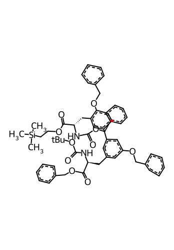 CC(C)(C)OC(=O)N[C@@H](Cc1cc(OCc2ccccc2)cc(-c2ccc(OCc3ccccc3)c(C[C@H](NC(=O)OCc3ccccc3)C(=O)OCC[Si](C)(C)C)c2)c1)C(=O)OCc1ccccc1